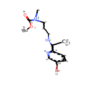 CN(CCCNC(c1ccc(Br)cn1)C(F)(F)F)C(=O)OC(C)(C)C